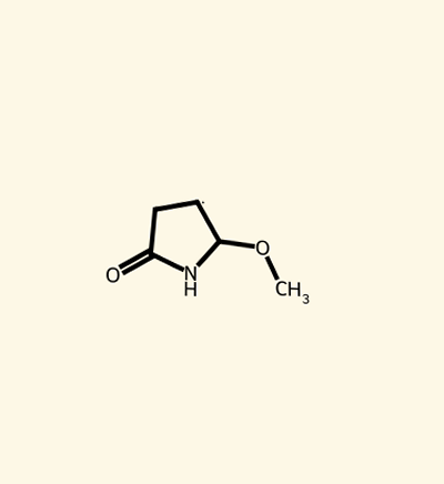 COC1[CH]CC(=O)N1